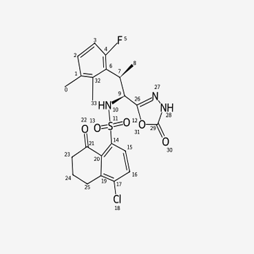 Cc1ccc(F)c([C@@H](C)[C@H](NS(=O)(=O)c2ccc(Cl)c3c2C(=O)CCC3)c2n[nH]c(=O)o2)c1C